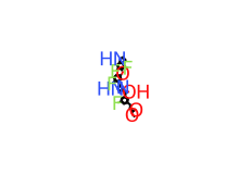 COC(=O)CCc1cc(F)cc(C(O)c2c[nH]c(-c3cc(Oc4c(F)cc5[nH]ccc5c4F)ccc3F)n2)c1